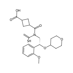 C=C(S)N(C[C@H](OC1CCOCC1)c1ccccc1OC)C(=O)C1CC(C(=O)O)C1